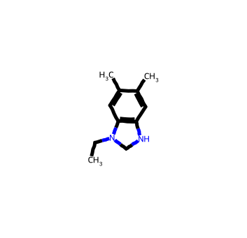 CCN1CNc2cc(C)c(C)cc21